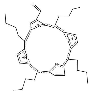 CCCCc1c2nc(c(CCCC)c3ccc([nH]3)c(CCCC)c3nc(c(CCCC)c4ccc1[nH]4)C=C3C=O)C=C2